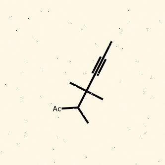 CC#CC(C)(C)C(C)C(C)=O